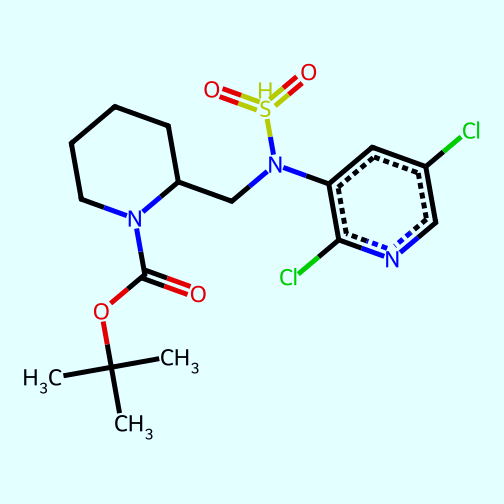 CC(C)(C)OC(=O)N1CCCCC1CN(c1cc(Cl)cnc1Cl)[SH](=O)=O